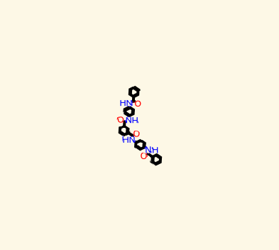 O=C(Nc1ccc(NC(=O)c2ccccc2)cc1)C1=CC(C(=O)Nc2ccc(NC(=O)c3ccccc3)cc2)CC=C1